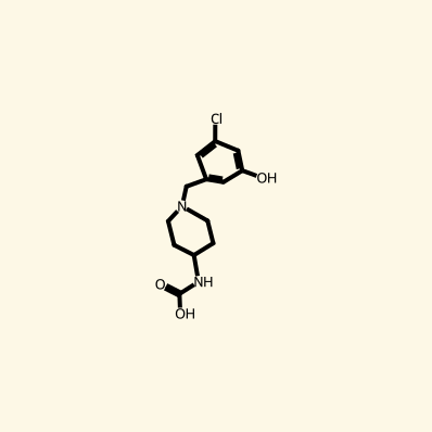 O=C(O)NC1CCN(Cc2cc(O)cc(Cl)c2)CC1